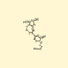 COCCOc1ccc(C2CCCc3c(O)cc(O)cc3O2)cc1O